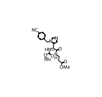 COC(=O)CCNC(=O)[C@@H](NC(=O)OC(C)(C)C)c1cncn1Cc1ccc(C#N)cc1